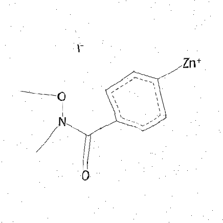 CON(C)C(=O)c1cc[c]([Zn+])cc1.[I-]